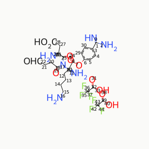 N=C(N)c1ccc(OC(=O)[C@](N)(CCCCN)N(C(=O)CCC=O)C(=O)[C@@H](N)CC(=O)O)cc1.O=C(O)C(F)(F)F.O=C(O)C(F)(F)F